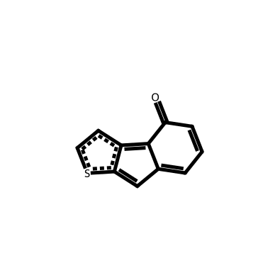 O=C1C=CC=C2C=c3sccc3=C12